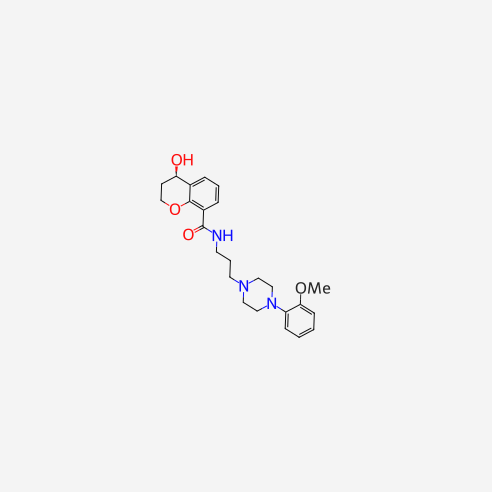 COc1ccccc1N1CCN(CCCNC(=O)c2cccc3c2OCC[C@H]3O)CC1